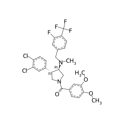 COc1ccc(C(=O)N2C[C@H](c3ccc(Cl)c(Cl)c3)[C@@H](N(C)Cc3ccc(C(F)(F)F)c(F)c3)C2)cc1OC